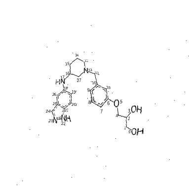 OCC(O)COc1cccc(CN2CCCC(Nc3ccc4[nH]ncc4c3)C2)c1